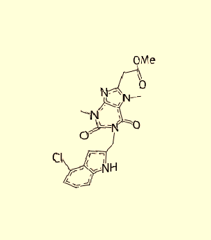 COC(=O)Cc1nc2c(c(=O)n(Cc3cc4c(Cl)cccc4[nH]3)c(=O)n2C)n1C